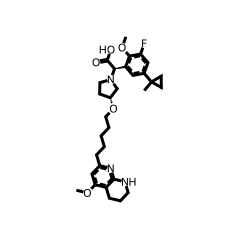 COc1cc(CCCCCO[C@@H]2CCN([C@@H](C(=O)O)c3cc(C4(C)CC4)cc(F)c3OC)C2)nc2c1CCCN2